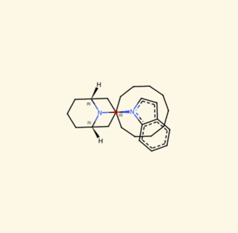 c1ccc2c(c1)ccn2[C@@H]1C[C@H]2CCC[C@@H](C1)N2C1CCCCCCCCC1